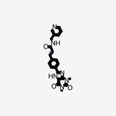 Cn1c(=O)c2[nH]c(-c3ccc(/C=C/C(=O)NCc4cccnc4)cc3)nc2n(C)c1=O